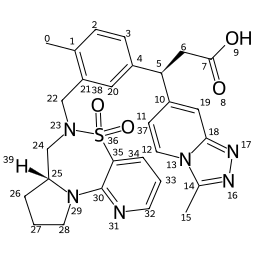 Cc1ccc([C@@H](CC(=O)O)c2ccn3c(C)nnc3c2)cc1CN1C[C@H]2CCCN2c2ncccc2S1(=O)=O